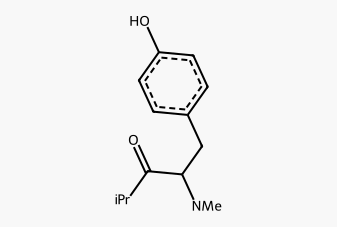 CNC(Cc1ccc(O)cc1)C(=O)C(C)C